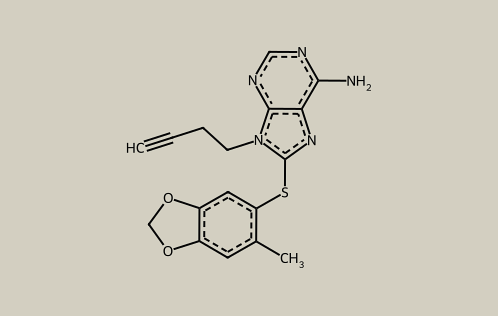 C#CCCn1c(Sc2cc3c(cc2C)OCO3)nc2c(N)ncnc21